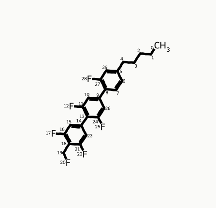 CCCCCc1ccc(-c2cc(F)c(-c3cc(F)c(CF)c(F)c3)c(F)c2)c(F)c1